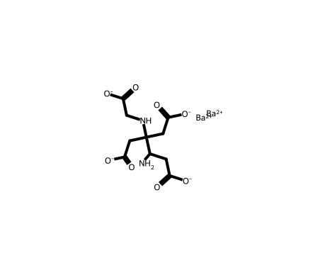 NC(CC(=O)[O-])C(CC(=O)[O-])(CC(=O)[O-])NCC(=O)[O-].[Ba+2].[Ba+2]